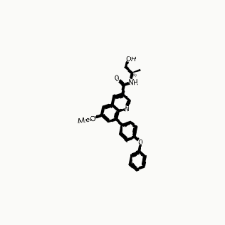 COc1cc(-c2ccc(Oc3ccccc3)cc2)c2ncc(C(=O)N[C@H](C)CO)cc2c1